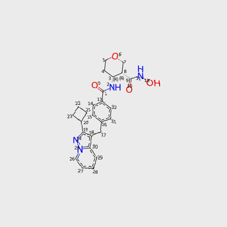 O=C(N[C@@H]1CCOC[C@@H]1C(=O)NO)c1ccc(Cc2c(C3CCC3)nn3ccccc23)cc1